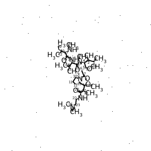 CC[C@H](C)[C@@H]([C@@H](CC(=O)N1CCC[C@H]1[C@@H](OC)[C@@H](C)C(=O)NCCN(C)C)OC)N(C)C(=O)C(NC(=O)[C@@H](NC)C(C)C)C(C)C